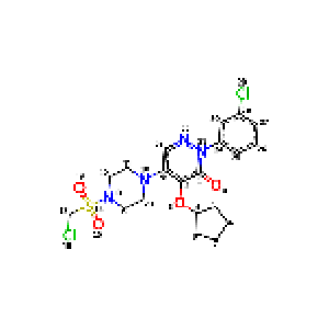 O=c1c(OC2CCCC2)c(N2CCN(S(=O)(=O)CCl)CC2)cnn1-c1cccc(Cl)c1